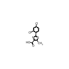 Cc1sc(-c2ccc(Cl)cc2Cl)nc1C(=O)O